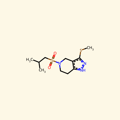 CSc1n[nH]c2c1CN(S(=O)(=O)CC(C)C)CC2